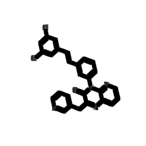 O=c1c(Cc2cccnc2)nc2cccnc2n1-c1cccc(/C=C/c2cc(Cl)cc(Cl)c2)c1